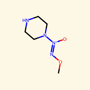 CON=[N+]([O])N1CCNCC1